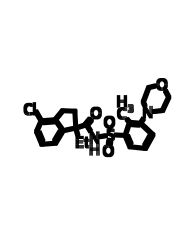 CCC1(C(=O)NS(=O)(=O)c2cccc(N3CCOCC3)c2C)CCc2c(Cl)cccc21